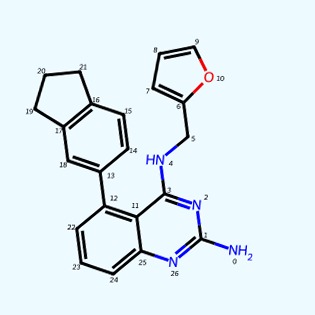 Nc1nc(NCc2ccco2)c2c(-c3ccc4c(c3)CCC4)cccc2n1